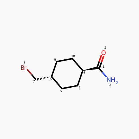 NC(=O)[C@H]1CC[C@H](CBr)CC1